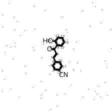 N#Cc1ccc(/C=C/C(=O)c2ccccc2O)cc1